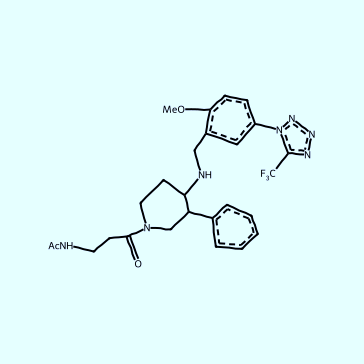 COc1ccc(-n2nnnc2C(F)(F)F)cc1CNC1CCN(C(=O)CCNC(C)=O)CC1c1ccccc1